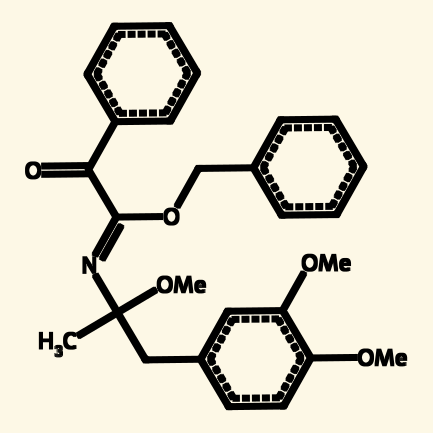 COc1ccc(CC(C)(N=C(OCc2ccccc2)C(=O)c2ccccc2)OC)cc1OC